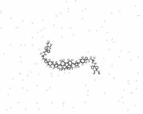 C=CC(C=C)OC(=O)CC[C@@H](C)CCOc1ccc(-c2ccc(-c3ccc4c(c3)C(CCC)(CCC)c3cc(-c5ccc(-c6ccc(OCC[C@H](C)CCC(=O)OC(C=C)C=C)cc6)s5)ccc3-4)s2)cc1